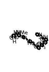 CNc1cc(N2CCN(CCN3CCC(CCCOc4cccc(-c5ccc(N6CCc7cccc(C(=O)Nc8nc9ccccc9s8)c7C6)nc5C(=O)O)c4C)CC3)CC2)ccc1C(=N)C1CCC(=O)NC1=O